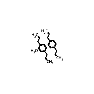 C=CCc1ccc(CC=C)cc1.C=CCc1ccc(CC=C)cc1.O